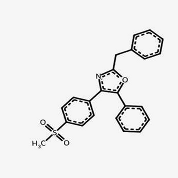 CS(=O)(=O)c1ccc(-c2nc(Cc3ccccc3)oc2-c2ccccc2)cc1